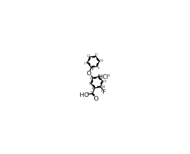 Cl.O=C(O)c1cc(Oc2ccccc2)ccc1F